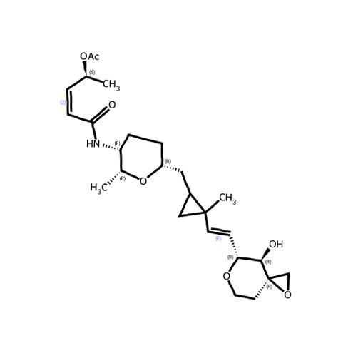 CC(=O)O[C@@H](C)/C=C\C(=O)N[C@@H]1CC[C@H](CC2CC2(C)/C=C/[C@H]2OCC[C@@]3(CO3)[C@@H]2O)O[C@@H]1C